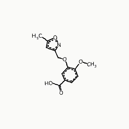 COc1ccc(C(=O)O)cc1OCc1cc(C)on1